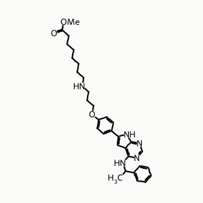 COC(=O)CCCCCCCNCCCOc1ccc(-c2cc3c(NC(C)c4ccccc4)ncnc3[nH]2)cc1